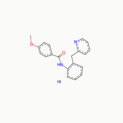 COc1ccc(C(=O)Nc2ccccc2Cc2ccccn2)cc1.I